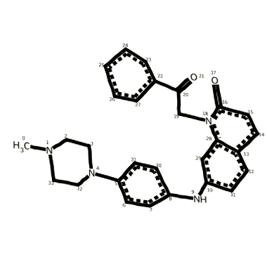 CN1CCN(c2ccc(Nc3ccc4ccc(=O)n(CC(=O)c5ccccc5)c4c3)cc2)CC1